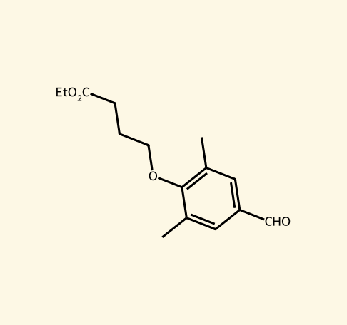 CCOC(=O)CCCOc1c(C)cc(C=O)cc1C